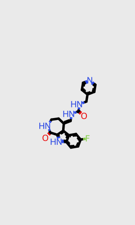 O=C(N/C=C1\CCNC(=O)c2[nH]c3ccc(F)cc3c21)NCc1ccncc1